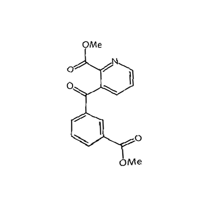 COC(=O)c1cccc(C(=O)c2cccnc2C(=O)OC)c1